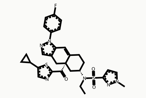 CCN([C@H]1CCC2=Cc3c(cnn3-c3ccc(F)cc3)C[C@]2(C(=O)c2ncc(C3CC3)s2)C1)S(=O)(=O)c1ccn(C)n1